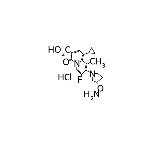 Cc1c(N2CC[C@H](ON)C2)c(F)cn2c(=O)c(C(=O)O)cc(C3CC3)c12.Cl